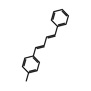 Cc1ccc(C=C/C=C/c2ccccc2)cc1